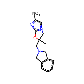 CC1(CN2Cc3ccccc3C2)Cn2cc([N+](=O)[O-])nc2O1